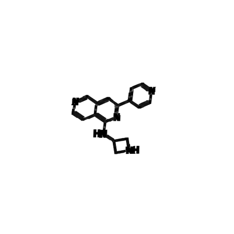 c1cc(-c2cc3cnccc3c(NC3CNC3)n2)ccn1